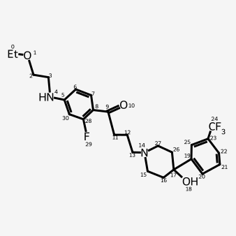 CCOCCNc1ccc(C(=O)CCCN2CCC(O)(c3cccc(C(F)(F)F)c3)CC2)c(F)c1